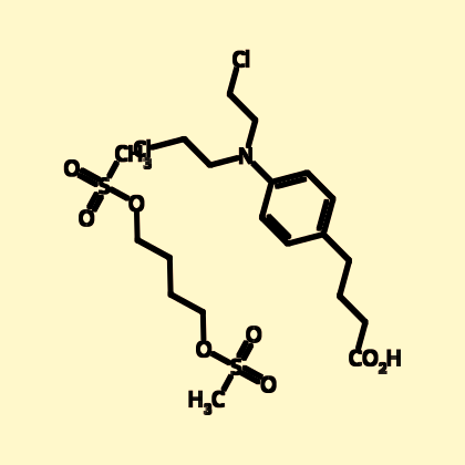 CS(=O)(=O)OCCCCOS(C)(=O)=O.O=C(O)CCCc1ccc(N(CCCl)CCCl)cc1